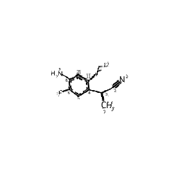 CC(C#N)c1cc(F)c(N)cc1F